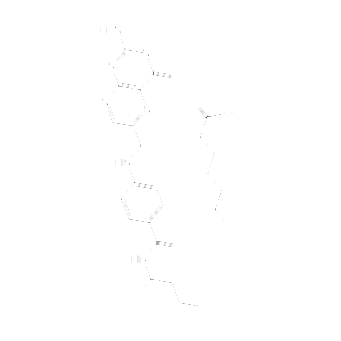 CCCCCCC(=O)O.Nc1nc2ncc(CNc3ccc(C(=O)NC(CCC(=O)O)C(=O)O)cc3)nc2c(=O)[nH]1